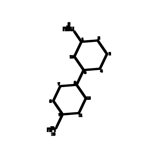 CCCCC1CCCC(C2CCC(CCC)CC2)C1